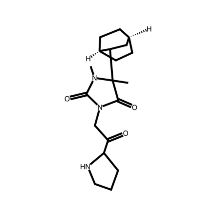 CN1C(=O)N(CC(=O)C2CCCN2)C(=O)C1(C)C1C[C@H]2CC[C@@H]1CC2